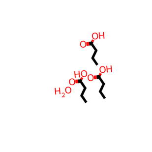 CCCC(=O)O.CCCC(=O)O.CCCC(=O)O.O